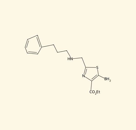 Bc1sc(CNCCCc2ccccc2)nc1C(=O)OCC